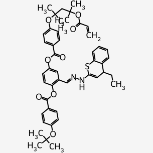 C=CC(=O)OC(C)(C)CC(C)(C)Oc1ccc(C(=O)Oc2ccc(OC(=O)c3ccc(OC(C)(C)C)cc3)c(/C=N/NC3=CC(CC)c4ccccc4S3)c2)cc1